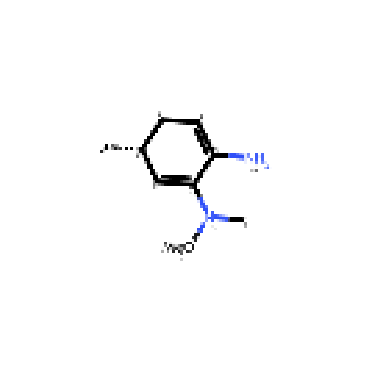 CON(C)C1=C[C@H](C)CC=C1N